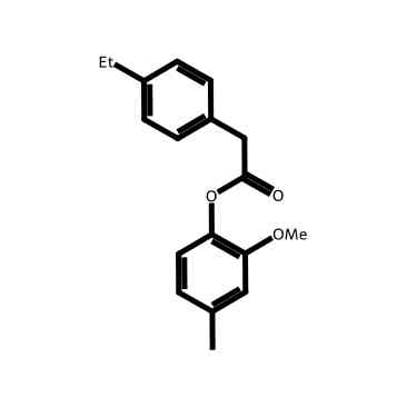 CCc1ccc(CC(=O)Oc2ccc(C)cc2OC)cc1